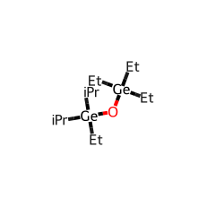 C[CH2][Ge]([CH2]C)([CH2]C)[O][Ge]([CH2]C)([CH](C)C)[CH](C)C